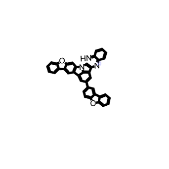 N=C1C=CC=C/C1=N/c1cn2c3cc4oc5ccccc5c4cc3c3cc(-c4ccc5oc6ccccc6c5c4)cc1c32